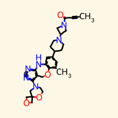 CC#CC(=O)N1CC(N2CCC(c3cc(C)c4c(c3)Nc3ncnc(N5CCOC6(COC6)C5)c3CO4)CC2)C1